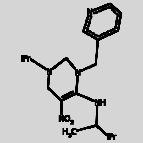 CC(C)C(C)NC1=C([N+](=O)[O-])CN(C(C)C)CN1Cc1cccnc1